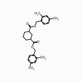 Cc1ccc(COC(=O)C2CCCC(C(=O)OCc3ccc(C)cc3C)C2)c(C)c1